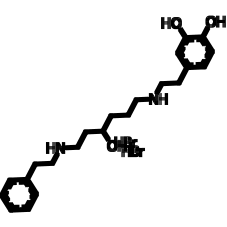 Br.Br.Oc1ccc(CCNCCCC(O)CCNCCc2ccccc2)cc1O